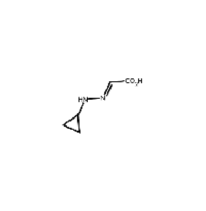 O=C(O)/C=N/NC1CC1